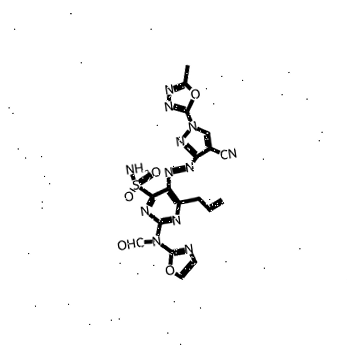 C=CCc1nc(N(C=O)c2ncco2)nc(S(N)(=O)=O)c1N=Nc1nn(-c2nnc(C)o2)cc1C#N